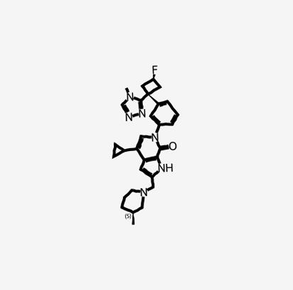 C[C@H]1CCCN(Cc2cc3c(C4CC4)cn(-c4cccc([C@]5(c6nncn6C)C[C@H](F)C5)c4)c(=O)c3[nH]2)C1